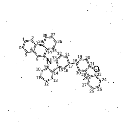 c1ccc2c(c1)cc(-n1c3ccccc3c3cc(-c4ccc5oc6ccccc6c5c4)ccc31)c1ccccc12